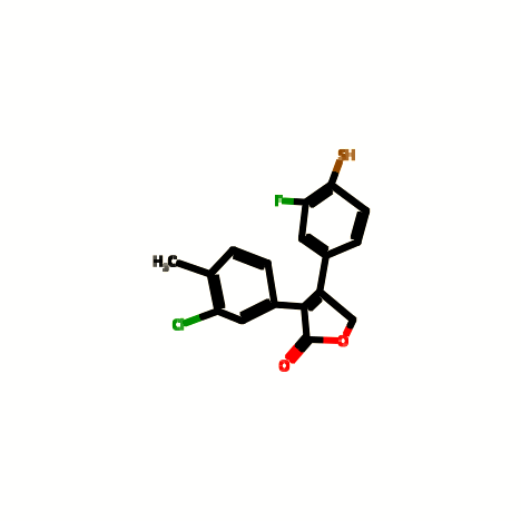 Cc1ccc(C2=C(c3ccc(S)c(F)c3)COC2=O)cc1Cl